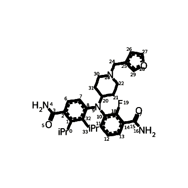 CC(C)c1c(C(N)=O)ccc(N(c2cccc(C(N)=O)c2F)C2CCN(Cc3ccoc3)CC2)c1C(C)C